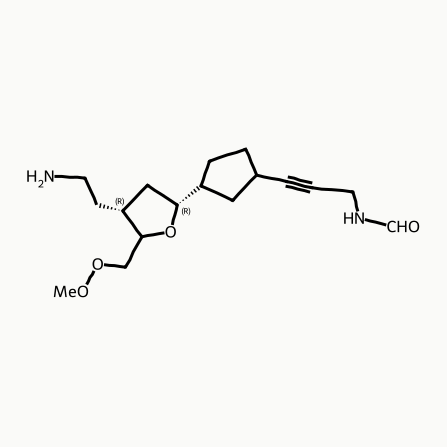 COOCC1O[C@@H](C2CCC(C#CCNC=O)C2)C[C@H]1CCN